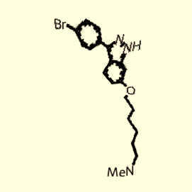 CNCCCCCCOc1ccc2c(-c3ccc(Br)cc3)n[nH]c2c1